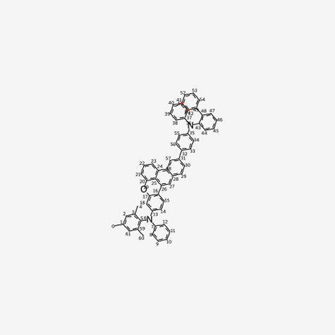 Cc1cc(C)c(N(c2ccccc2)c2ccc3c(c2)Oc2cccc4c2c-3cc2ccc(-c3ccc(N(c5ccccc5)c5ccccc5-c5ccccc5)cc3)cc24)c(C)c1